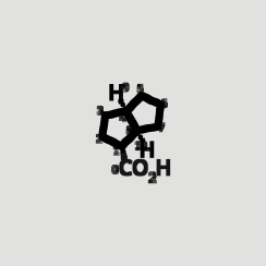 O=C(O)[C@H]1CC[C@H]2CCC[C@H]21